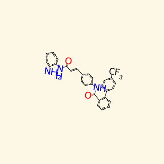 Nc1ccccc1NC(=O)/C=C/c1ccc(NC(=O)c2ccccc2-c2ccc(C(F)(F)F)cc2)cc1